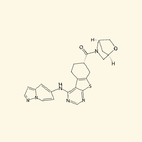 O=C([C@H]1CCc2c(sc3ncnc(Nc4ccn5nccc5c4)c23)C1)N1C[C@H]2C[C@@H]1CO2